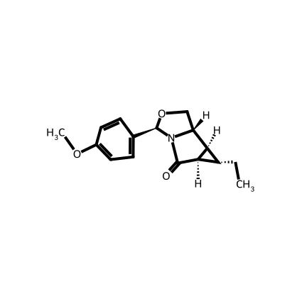 CC[C@@H]1[C@H]2C(=O)N3[C@@H](c4ccc(OC)cc4)OC[C@@H]3[C@@H]12